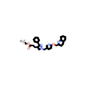 CCOC(=O)CCc1cn(Cc2ccc(OCc3ccc4ccccc4n3)nc2)nc1-c1ccccc1